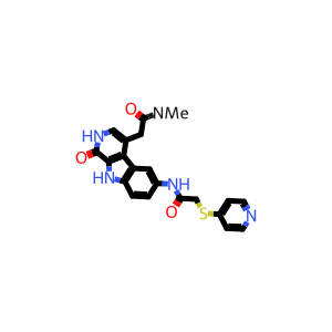 CNC(=O)Cc1c[nH]c(=O)c2[nH]c3ccc(NC(=O)CSc4ccncc4)cc3c12